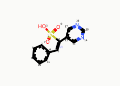 O=S(=O)(O)/C(=C\c1ccccc1)c1cncnc1